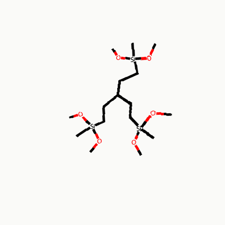 CO[Si](C)(CCC(CC[Si](C)(OC)OC)CC[Si](C)(OC)OC)OC